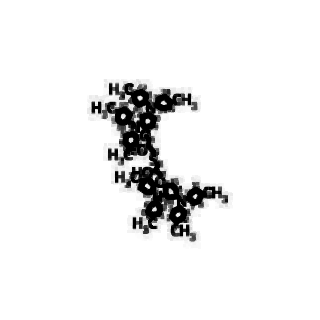 Cc1ccc(N(c2ccc(C)cc2)c2ccc(OCC(O)CSCC(O)COc3ccc(N(c4ccc(C)cc4)c4ccc(C)cc4)cc3N(c3ccc(C)cc3)c3ccc(C)cc3)c(N(c3ccc(C)cc3)c3ccc(C)cc3)c2)cc1